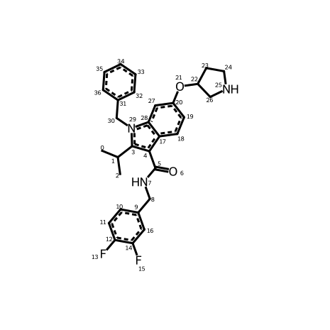 CC(C)c1c(C(=O)NCc2ccc(F)c(F)c2)c2ccc(OC3CCNC3)cc2n1Cc1ccccc1